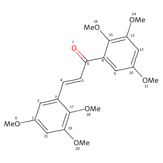 COc1cc(C=CC(=O)c2cc(OC)cc(OC)c2OC)c(OC)c(OC)c1